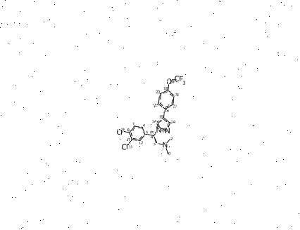 CN(C)C[C@@H](c1ccc(Cl)c(Cl)c1)n1cc(-c2ccc(OC(F)(F)F)cc2)cn1